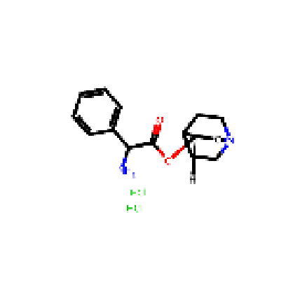 Cl.Cl.NC(C(=O)O[C@H]1CN2CCC1CC2)c1ccccc1